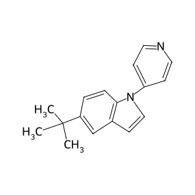 CC(C)(C)c1ccc2c(ccn2-c2ccncc2)c1